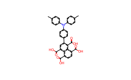 Cc1ccc(N(c2ccc(C)cc2)c2ccc(-c3cc(C(=O)O)c4c(C(=O)O)ccc(C(=O)O)c4c3C(=O)O)cc2)cc1